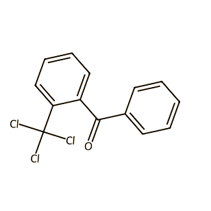 O=C(c1ccccc1)c1ccccc1C(Cl)(Cl)Cl